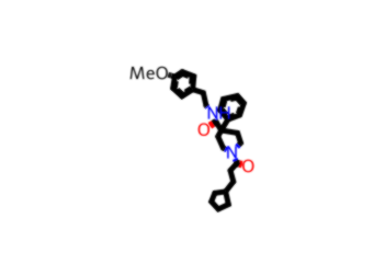 COc1ccc(CCNC(=O)C2(c3ccccc3)CCN(C(=O)CCC3CCCC3)CC2)cc1